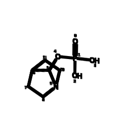 O=P(O)(O)OC1C2CCN1CC2